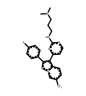 CN(C)CCCNc1nccc(-c2c(-c3ccc(F)cc3)nn3cc(C(F)(F)F)ccc23)n1